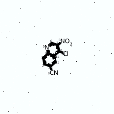 N#Cc1ccc2ncc([N+](=O)[O-])c(Cl)c2c1